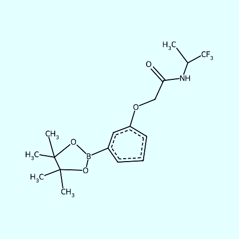 CC(NC(=O)COc1cccc(B2OC(C)(C)C(C)(C)O2)c1)C(F)(F)F